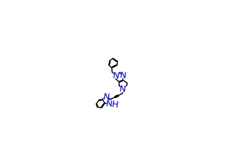 C(#Cc1nc2ccccc2[nH]1)CN1CCC2=C(CN(Cc3ccccc3)C=N2)C1